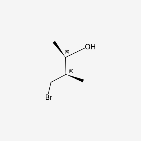 C[C@@H](O)[C@@H](C)CBr